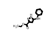 CCOC(=O)c1cc(Nc2ccccc2)[nH]n1